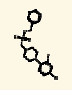 O=S(=O)(CN1CCC(c2ccc(Cl)cc2F)CC1)OCc1ccccc1